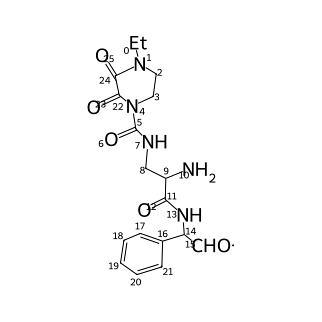 CCN1CCN(C(=O)NCC(N)C(=O)NC([C]=O)c2ccccc2)C(=O)C1=O